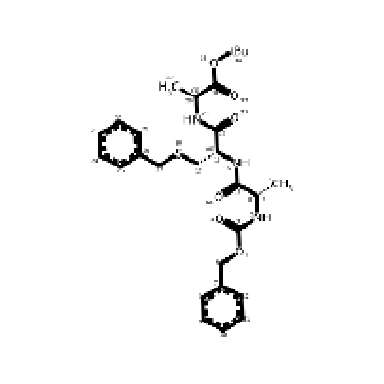 C[C@H](NC(=O)OCc1ccccc1)C(=O)N[C@H](CSCc1ccccc1)C(=O)N[C@@H](C)C(=O)OC(C)(C)C